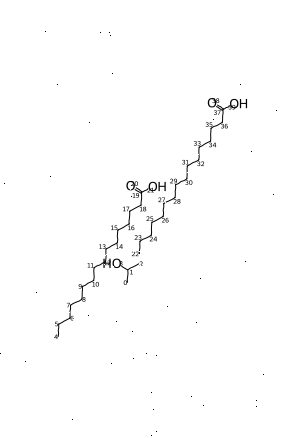 CC(C)O.CCCCCCCCCCCCCCCC(=O)O.CCCCCCCCCCCCCCCC(=O)O